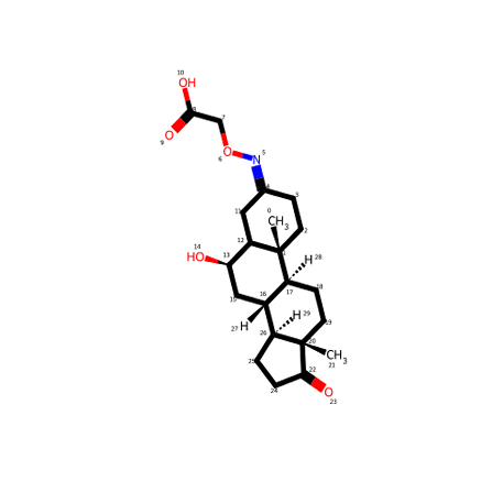 C[C@]12CC/C(=N/OCC(=O)O)CC1[C@H](O)C[C@@H]1[C@@H]2CC[C@]2(C)C(=O)CC[C@@H]12